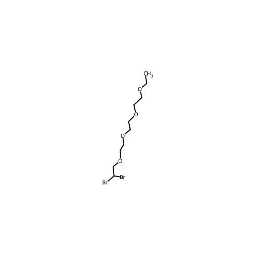 CCOCCOCCOCCOCC(Br)Br